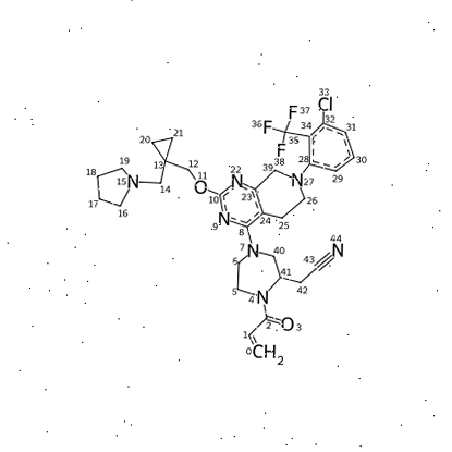 C=CC(=O)N1CCN(c2nc(OCC3(CN4CCCC4)CC3)nc3c2CCN(c2cccc(Cl)c2C(F)(F)F)C3)CC1CC#N